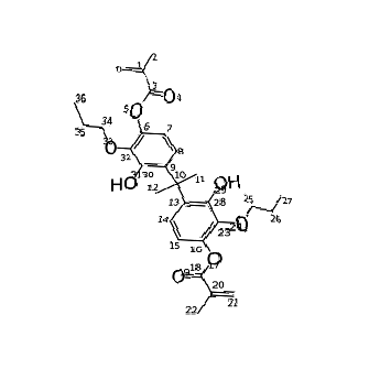 C=C(C)C(=O)Oc1ccc(C(C)(C)c2ccc(OC(=O)C(=C)C)c(OCCC)c2O)c(O)c1OCCC